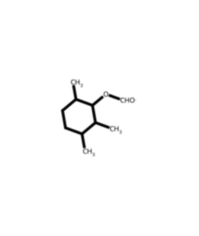 CC1CCC(C)C(O[C]=O)C1C